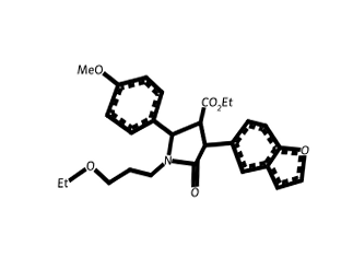 CCOCCCN1C(=O)C(c2ccc3occc3c2)C(C(=O)OCC)C1c1ccc(OC)cc1